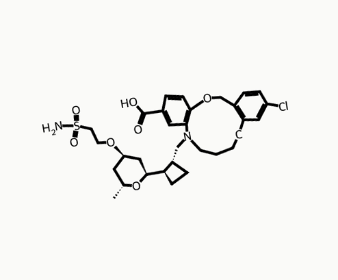 C[C@@H]1C[C@@H](OCCS(N)(=O)=O)C[C@@H]([C@@H]2CC[C@H]2CN2CCCCc3cc(Cl)ccc3COc3ccc(C(=O)O)cc32)O1